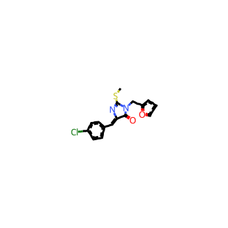 CSC1=N/C(=C\c2ccc(Cl)cc2)C(=O)N1Cc1ccco1